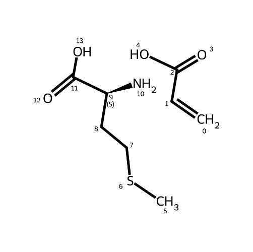 C=CC(=O)O.CSCC[C@H](N)C(=O)O